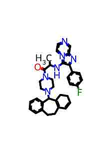 CC(Nc1c(-c2ccc(F)cc2)nc2cnccn12)C(=O)N1CCN(C2C3=C(C=CCC3)CCc3ccccc32)CC1